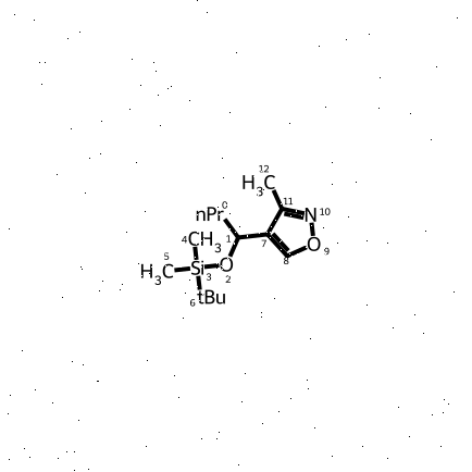 CCCC(O[Si](C)(C)C(C)(C)C)c1conc1C